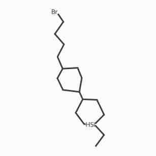 CC[SiH]1CCC(C2CCC(CCCCBr)CC2)CC1